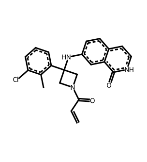 C=CC(=O)N1CC(Nc2ccc3cc[nH]c(=O)c3c2)(c2cccc(Cl)c2C)C1